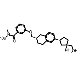 CCCCN(C)C(=O)c1cccc(OC[C@@H]2CCc3cc([C@H]4CC[C@](N)(CO)C4)ccc3C2)c1